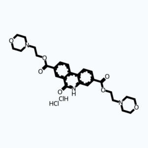 Cl.Cl.O=C(OCCN1CCOCC1)c1ccc2c(c1)[nH]c(=O)c1cc(C(=O)OCCN3CCOCC3)ccc12